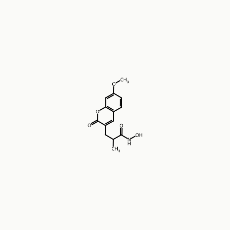 COc1ccc2cc(CC(C)C(=O)NO)c(=O)oc2c1